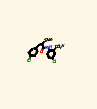 CSC(Cc1ccc(Cl)cc1)C(=O)Nc1ccc(Cl)cc1C(=O)O